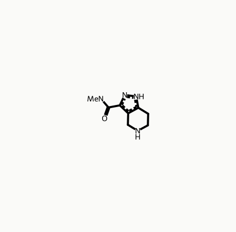 CNC(=O)c1n[nH]c2c1CNCC2